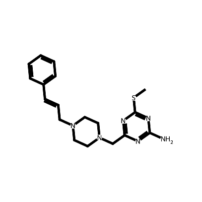 CSc1nc(N)nc(CN2CCN(C/C=C/c3ccccc3)CC2)n1